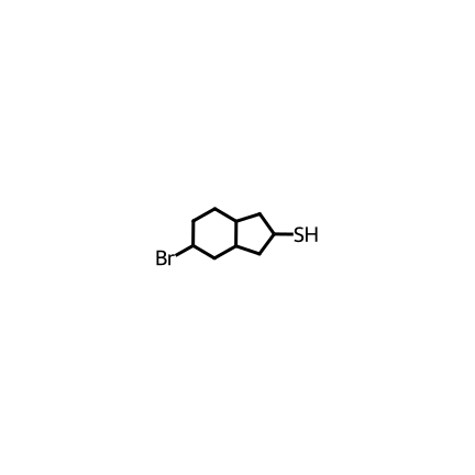 SC1CC2CCC(Br)CC2C1